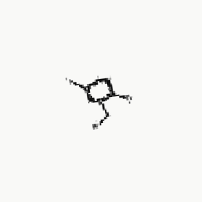 BrCc1cc(I)ccc1Br